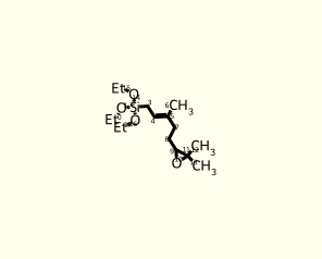 CCO[Si](CC=C(C)CCC1OC1(C)C)(OCC)OCC